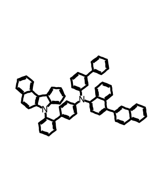 c1ccc(-c2cccc(N(c3ccc(-c4ccccc4-n4c5ccccc5c5c6ccccc6ccc54)cc3)c3ccc(-c4ccc5ccccc5c4)c4ccccc34)c2)cc1